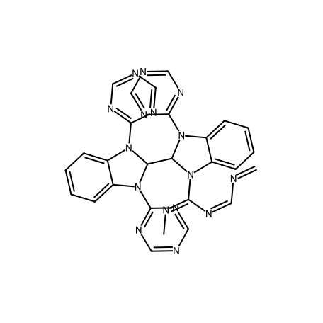 C=N/C=N\C(=N/C)N1c2ccccc2N(c2ncncn2)C1C1N(c2ncncn2)c2ccccc2N1c1ncncn1